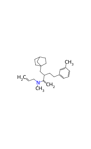 C=CCN(C)C(=C)C(CCc1cccc(C)c1)CC12CCC(CC1)C2